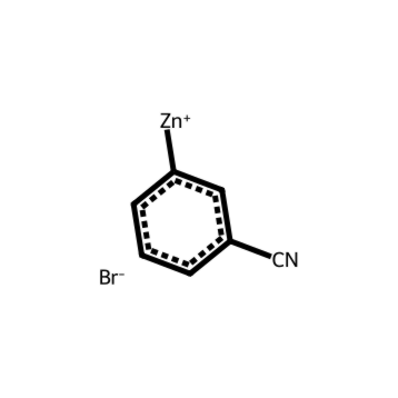 N#Cc1ccc[c]([Zn+])c1.[Br-]